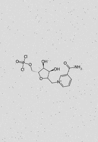 NC(=O)c1ccc[n+](CC2O[C@H](COP(=O)(Cl)Cl)[C@@H](O)[C@H]2O)c1